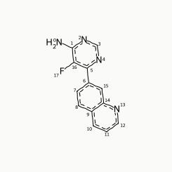 Nc1ncnc(-c2ccc3cccnc3c2)c1F